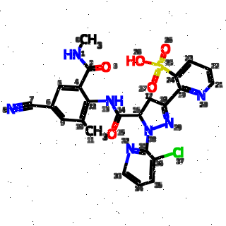 CNC(=O)c1cc(C#N)cc(C)c1NC(=O)C1CC(c2ncccc2S(=O)(=O)O)=NN1c1ncccc1Cl